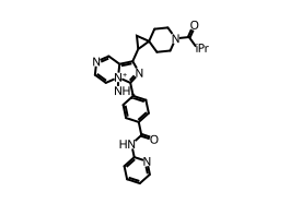 CC(C)C(=O)N1CCC2(CC1)CC2C1=C2C=NC=C[N+]2(N)C(c2ccc(C(=O)Nc3ccccn3)cc2)=N1